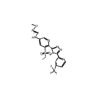 CCS(=O)(=O)c1cc(N/C=N/OC)cnc1-c1nnc(-c2cc(C(F)(F)F)ccn2)n1C